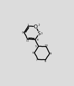 C1=COSC(C2CCCCC2)=C1